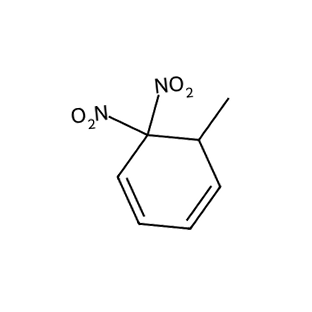 CC1C=CC=CC1([N+](=O)[O-])[N+](=O)[O-]